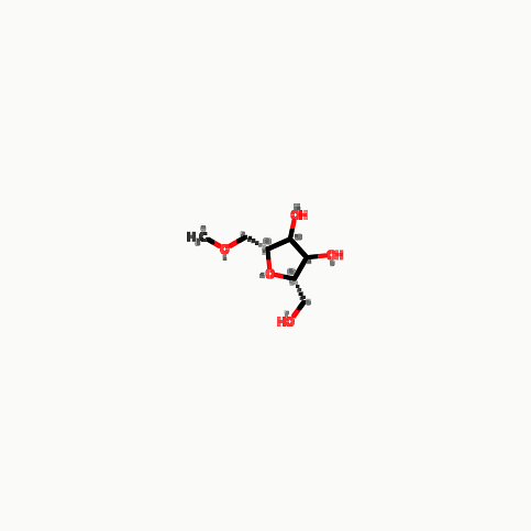 COC[C@H]1O[C@@H](CO)C(O)C1O